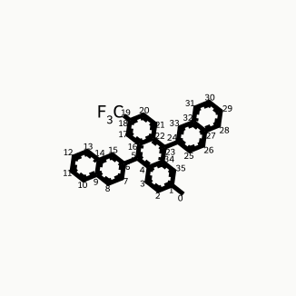 Cc1ccc2c(-c3ccc4ccccc4c3)c3cc(C(F)(F)F)ccc3c(-c3ccc4ccccc4c3)c2c1